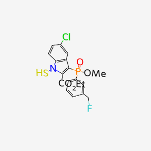 CCOC(=O)c1c(P(=O)(OC)c2cccc(CF)c2)c2cc(Cl)ccc2n1S